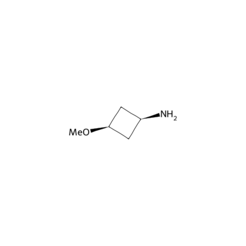 CO[C@H]1C[C@@H](N)C1